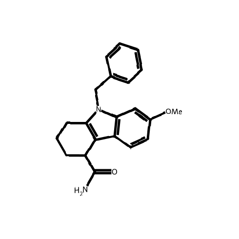 COc1c[c]c2c3c(n(Cc4ccccc4)c2c1)CCCC3C(N)=O